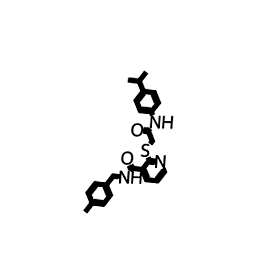 Cc1ccc(CNC(=O)c2cccnc2SCC(=O)Nc2ccc(C(C)C)cc2)cc1